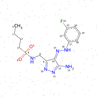 CCCCS(=O)(=O)NCC1=NN=C(N)C1=NNc1cccc(F)c1